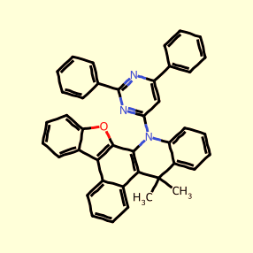 CC1(C)c2ccccc2N(c2cc(-c3ccccc3)nc(-c3ccccc3)n2)c2c1c1ccccc1c1c2oc2ccccc21